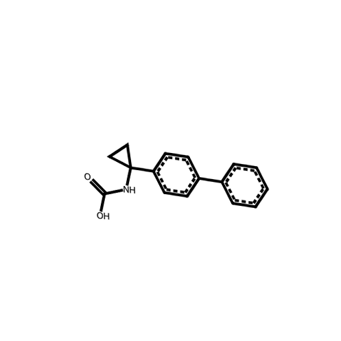 O=C(O)NC1(c2ccc(-c3ccccc3)cc2)CC1